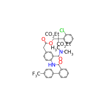 CCOC(=O)C(COC(=O)Cc1ccc(NC(=O)c2ccccc2-c2ccc(C(F)(F)F)cc2)c(C(=O)N(C)C)c1)(C(=O)OCC)c1ccccc1Cl